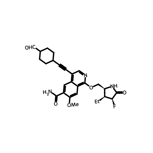 CC[C@@H]1[C@H](F)C(=O)N[C@@H]1COc1ncc(C#CC2CCC(C=O)CC2)c2cc(C(N)=O)c(OC)cc12